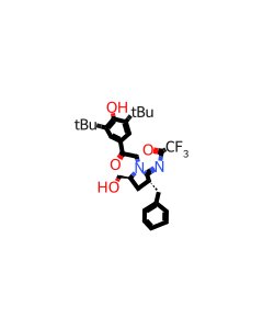 CC(C)(C)c1cc(C(=O)CN2/C(=N\C(=O)C(F)(F)F)[C@H](Cc3ccccc3)C[C@H]2CO)cc(C(C)(C)C)c1O